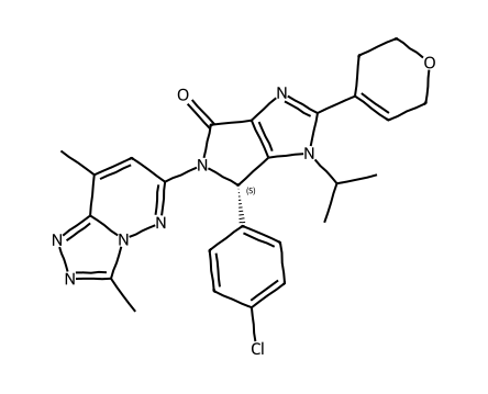 Cc1cc(N2C(=O)c3nc(C4=CCOCC4)n(C(C)C)c3[C@@H]2c2ccc(Cl)cc2)nn2c(C)nnc12